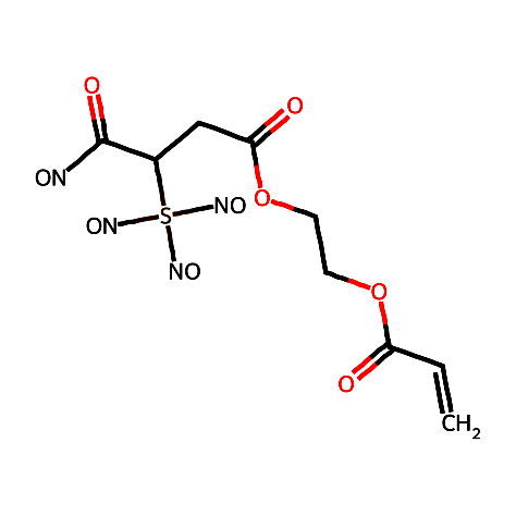 C=CC(=O)OCCOC(=O)CC(C(=O)N=O)S(N=O)(N=O)N=O